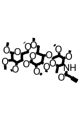 C#CC(=O)NC1C(C)OC(OC2C(COC)OC(OC3C(COC)OC(OC)C(OC)C3OC)C(OC)C2OC)C(OC)C1OC